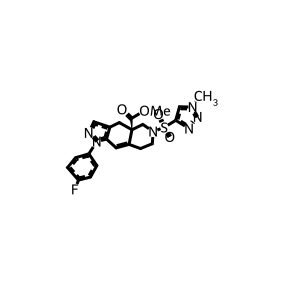 COC(=O)[C@]12Cc3cnn(-c4ccc(F)cc4)c3C=C1CCN(S(=O)(=O)c1cn(C)nn1)C2